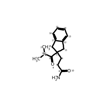 CN(C)C(=O)C1(CCC(N)=O)Cc2ccccc2C1